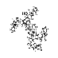 Cc1c(C(=O)c2cc(C)c3c(c2)c2cc(C(=O)c4c(C)c(C)n(-c5ccccc5)c4C)cc(C)c2n3-c2ncnc(-c3ccccc3-c3ncnc(-n4c5c(C)cc(C(=O)c6c(C)c(C)n(-c7ccccc7)c6C)cc5c5cc(C(O)c6c(C)c(C)n(-c7ccccc7)c6C)cc(C)c54)n3)n2)c(C)n(-c2ccccc2)c1C